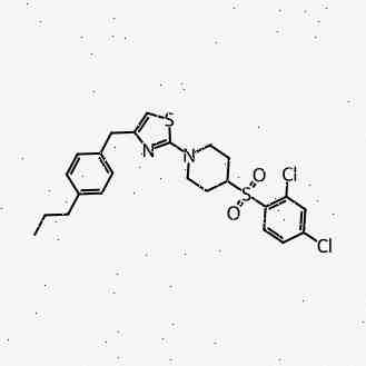 CCCc1ccc(Cc2csc(N3CCC(S(=O)(=O)c4ccc(Cl)cc4Cl)CC3)n2)cc1